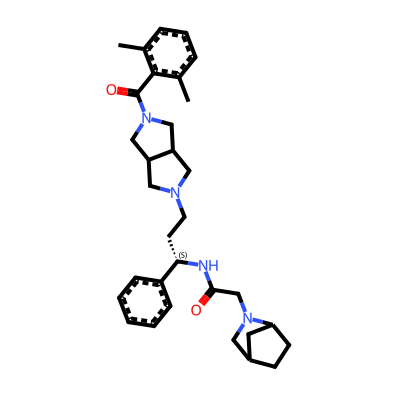 Cc1cccc(C)c1C(=O)N1CC2CN(CC[C@H](NC(=O)CN3CC4CCC3C4)c3ccccc3)CC2C1